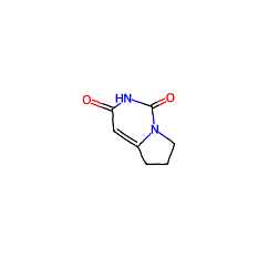 O=c1cc2n(c(=O)[nH]1)CCC2